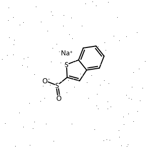 O=S([O-])c1cc2ccccc2s1.[Na+]